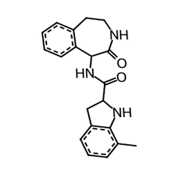 Cc1cccc2c1NC(C(=O)NC1C(=O)NCCc3ccccc31)C2